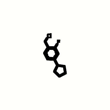 Fc1cc(C2CCCC2)ccc1CCl